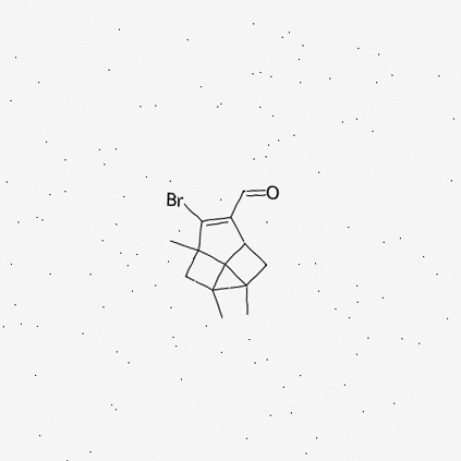 CC12CC3(C)C4(C)CC(C(C=O)=C1Br)C243